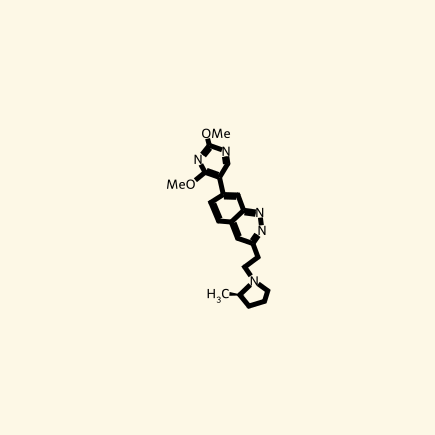 COc1ncc(-c2ccc3cc(CCN4CCC[C@H]4C)nnc3c2)c(OC)n1